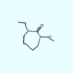 CCN1CCCCC(NC)C1=O